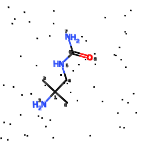 CC(C)(N)CNC(N)=O